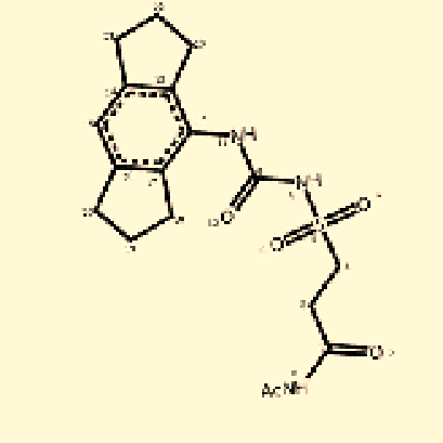 CC(=O)NC(=O)CCS(=O)(=O)NC(=O)Nc1c2c(cc3c1CCC3)CCC2